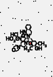 Cc1cc(C[C@](C(=O)N2CCC(N3CCOCC3)CC2)(C2CCN(C(=O)O)CC2)N2CCc3ccccc3NC2=O)cc(C)c1O.Cl